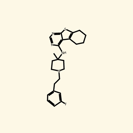 CC1(Nc2ncnc3sc4c(c23)CCCC4)CCN(CCc2cccc(F)c2)CC1